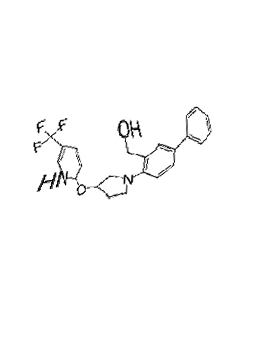 OCc1cc(-c2ccccc2)ccc1N1CCC(OC2C=CC(C(F)(F)F)=CN2)C1